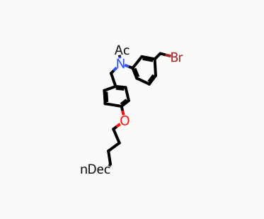 CCCCCCCCCCCCCCOc1ccc(CN(C(C)=O)c2cccc(CBr)c2)cc1